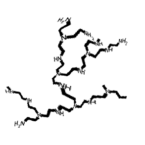 CCCN(C)CCNCCN(CCNCCN(CCN)CCNCCNC)CCNCCN(CCNCCN(CCN)CCN)CCNCCN(CCNC)CCNCCN